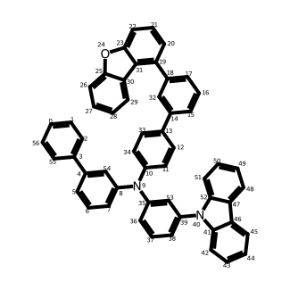 c1ccc(-c2cccc(N(c3ccc(-c4cccc(-c5cccc6oc7ccccc7c56)c4)cc3)c3cccc(-n4c5ccccc5c5ccccc54)c3)c2)cc1